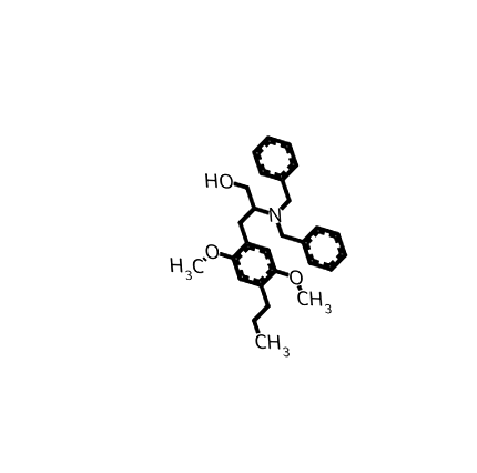 CCCc1cc(OC)c(CC(CO)N(Cc2ccccc2)Cc2ccccc2)cc1OC